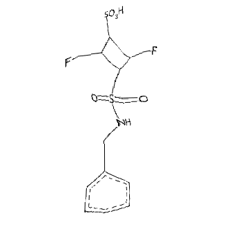 O=S(=O)(O)C1C(F)C(S(=O)(=O)NCc2ccccc2)C1F